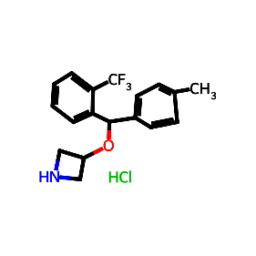 Cc1ccc(C(OC2CNC2)c2ccccc2C(F)(F)F)cc1.Cl